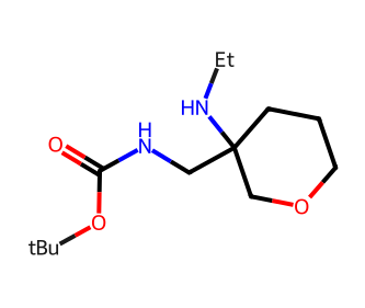 CCNC1(CNC(=O)OC(C)(C)C)CCCOC1